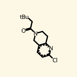 CC(C)(C)CC(=O)N1CCc2nc(Cl)ccc2C1